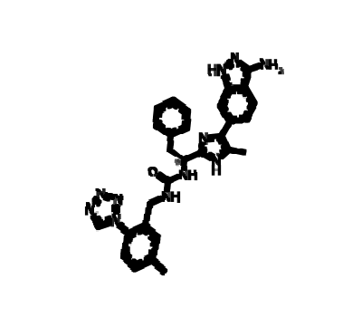 Cc1ccc(-n2cnnn2)c(CNC(=O)N[C@@H](Cc2ccccc2)c2nc(-c3ccc4c(N)n[nH]c4c3)c(C)[nH]2)c1